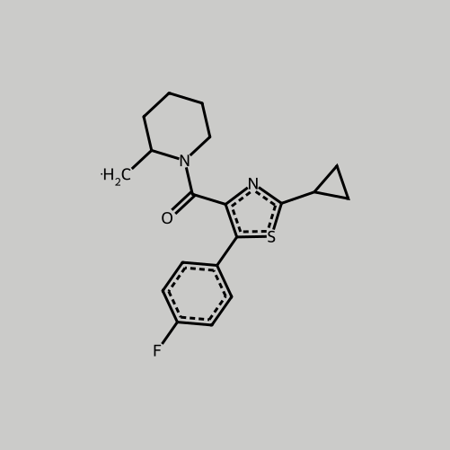 [CH2]C1CCCCN1C(=O)c1nc(C2CC2)sc1-c1ccc(F)cc1